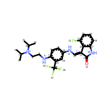 CC(C)N(CCNc1ccc(N/C=C2/C(=O)Nc3cccc(F)c32)cc1C(F)(F)F)C(C)C